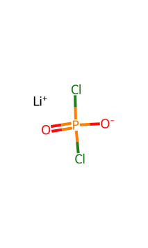 O=P([O-])(Cl)Cl.[Li+]